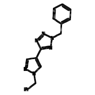 CC(C)Cn1cc(-c2nnn(Cc3ccccc3)n2)cn1